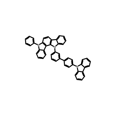 c1ccc(-n2c3ccccc3c3c2ccc2c4ccccc4n(-c4cccc(-c5ccc(-n6c7ccccc7c7ccccc76)cc5)c4)c23)cc1